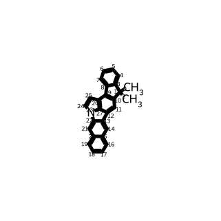 CC1(C)c2ccccc2-c2c1cc1c3cc4ccccc4cc3n3ccc2c13